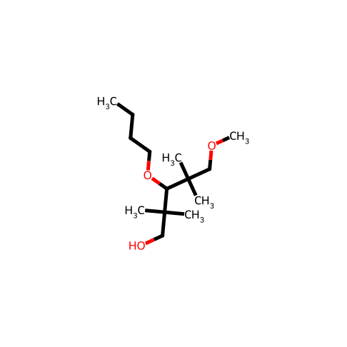 CCCCOC(C(C)(C)CO)C(C)(C)COC